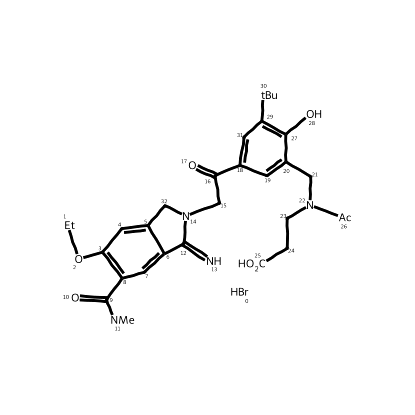 Br.CCOc1cc2c(cc1C(=O)NC)C(=N)N(CC(=O)c1cc(CN(CCC(=O)O)C(C)=O)c(O)c(C(C)(C)C)c1)C2